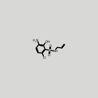 C=CCNS(=O)(=O)c1c(Cl)ccc(N)c1O